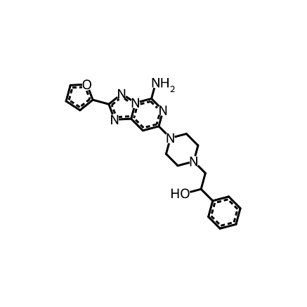 Nc1nc(N2CCN(CC(O)c3ccccc3)CC2)cc2nc(-c3ccco3)nn12